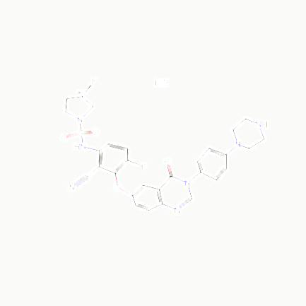 Cl.N#Cc1c(NS(=O)(=O)N2CC[C@@H](F)C2)ccc(F)c1Oc1ccc2ncn(-c3ccc(N4CCNCC4)cc3)c(=O)c2c1